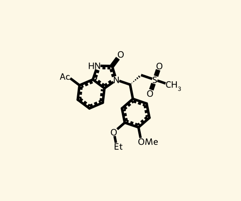 CCOc1cc([C@@H](CS(C)(=O)=O)n2c(=O)[nH]c3c(C(C)=O)cccc32)ccc1OC